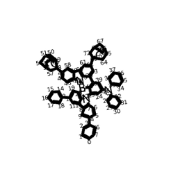 c1ccc(-c2ccc3c(c2)c2cc(-c4ccccc4)cc4c2n3-c2cc(N(c3ccccc3)c3ccccc3)cc3c2B4n2c4ccc(C56CCC7CC(CC7C5)C6)cc4c4cc(C56CCC7CC(CC7C5)C6)cc-3c42)cc1